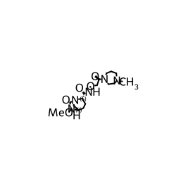 CON1C(=O)N2C[C@H]1CC[C@H]2C(=O)NOCC(=O)N1CCCN(C)CC1